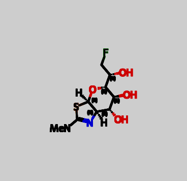 CNC1=N[C@@H]2[C@@H](O)[C@H](O)[C@@H]([C@@H](O)CF)O[C@@H]2S1